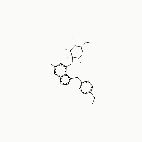 CCc1ccc(Cc2c[nH]c3cc(F)cc(O[C@]4(O)[C@H](O)O[C@H](CO)[C@@H](O)[C@@H]4O)c23)cc1